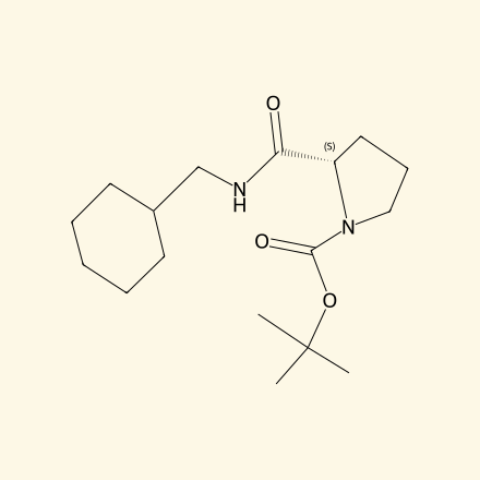 CC(C)(C)OC(=O)N1CCC[C@H]1C(=O)NCC1CCCCC1